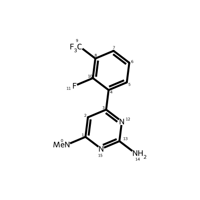 CNc1cc(-c2cccc(C(F)(F)F)c2F)nc(N)n1